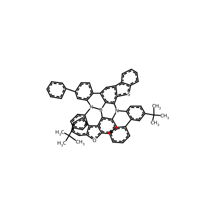 CC(C)(C)c1ccc(N2B3c4c(cc5c(sc6ccccc65)c4N(c4ccc(C(C)(C)C)cc4-c4ccccc4)c4ccc5oc6ccccc6c5c43)-c3ccc(-c4ccccc4)cc32)cc1